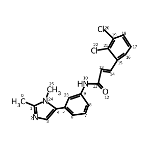 Cc1ncc(-c2cccc(NC(=O)C=Cc3cccc(Cl)c3Cl)c2)n1C